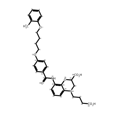 Cc1ccccc1OCCCCOc1ccc(C(=O)Nc2cccc3c2OC(C(=O)O)CN3CCCC(=O)O)cc1